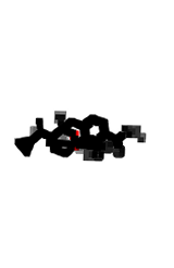 C[C@H](C1CC1)C1CC[C@]23CC(=O)CCC2[C@H]1Cc1ccc(C(N)=O)c(O)c13